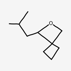 CC(C)CC1OCC12CCC2